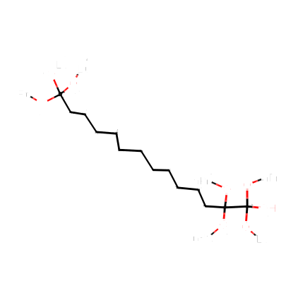 CCCOC(O)(OCC)C(CCCCCCCCCCCC(OCC)(OCC)OCC)(OCCC)OCCC